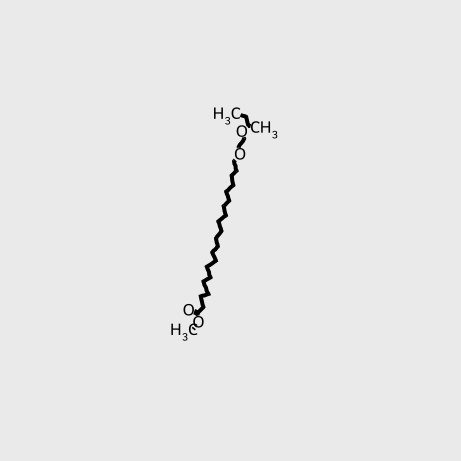 CCC(C)OCCOCCCCCCCCCCCCCCCCCCCCC(=O)OC